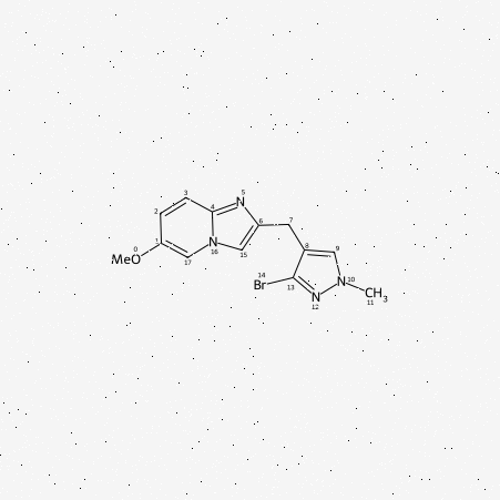 COc1ccc2nc(Cc3cn(C)nc3Br)cn2c1